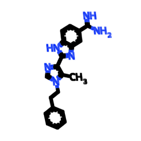 Cc1c(-c2nc3cc(C(=N)N)ccc3[nH]2)ncn1CCc1ccccc1